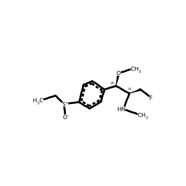 CC[S+]([O-])c1ccc([C@@H](OC)[C@@H](CF)NC)cc1